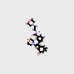 CC1(C)CC(=O)c2sc(N3CCOCC3)c(-c3cccc(C(=O)NCCN4CCOCC4)c3)c2C1